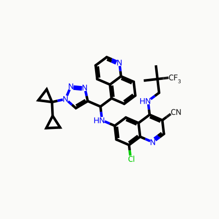 CC(C)(CNc1c(C#N)cnc2c(Cl)cc(NC(c3cn(C4(C5CC5)CC4)nn3)c3cccc4ncccc34)cc12)C(F)(F)F